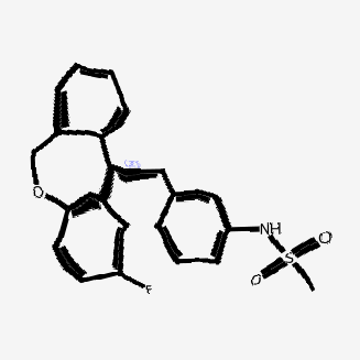 CS(=O)(=O)Nc1cccc(/C=C2/c3ccccc3COc3ccc(F)cc32)c1